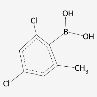 Cc1cc(Cl)cc(Cl)c1B(O)O